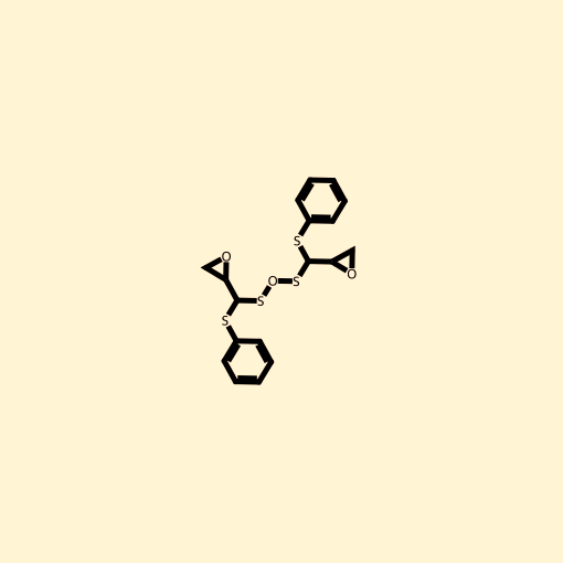 c1ccc(SC(SOSC(Sc2ccccc2)C2CO2)C2CO2)cc1